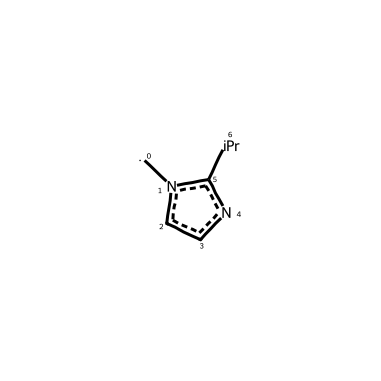 [CH2]n1ccnc1C(C)C